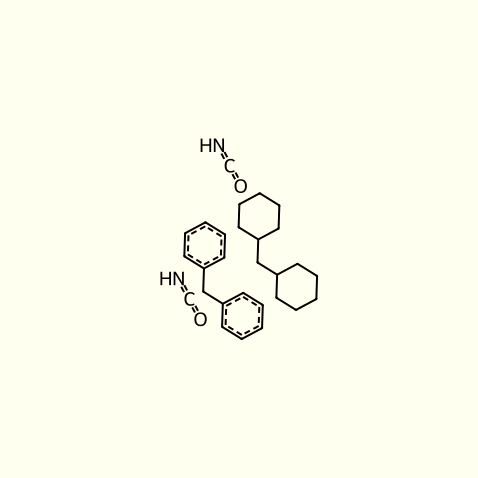 C1CCC(CC2CCCCC2)CC1.N=C=O.N=C=O.c1ccc(Cc2ccccc2)cc1